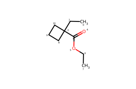 C[CH]C1(C(=O)OCC)CCC1